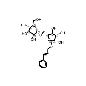 OC[C@H]1O[C@H](OC[C@H]2O[C@H](SC/C=C/c3ccccc3)[C@@H](O)[C@@H](O)[C@@H]2O)[C@@H](O)[C@@H](O)[C@@H]1O